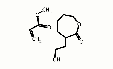 C=CC(=O)OC.O=C1OCCCCC1CCO